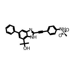 CC(C)(O)c1cc(-c2ccccc2)cc2nc(C#Cc3ccc(NS(C)(=O)=O)cc3)[nH]c12